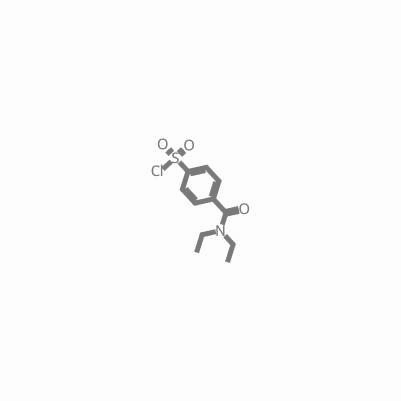 CCN(CC)C(=O)c1ccc(S(=O)(=O)Cl)cc1